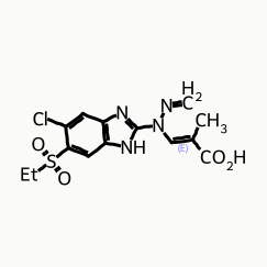 C=NN(/C=C(\C)C(=O)O)c1nc2cc(Cl)c(S(=O)(=O)CC)cc2[nH]1